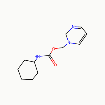 O=C(NC1CCCCC1)OCN1C=CC=NC1